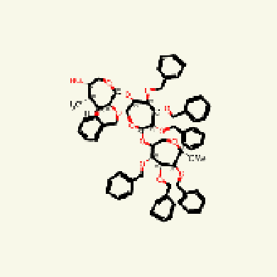 CO[C@H]1OCC(O[C@H]2OC[C@@H](O[C@H]3OC[C@@H](O)[C@@H](C)[C@H](C)[C@@H]3OCc3ccccc3)[C@@H](OCc3ccccc3)[C@H](OCc3ccccc3)[C@@H]2OCc2ccccc2)[C@@H](OCc2ccccc2)[C@H](OCc2ccccc2)[C@@H]1OCc1ccccc1